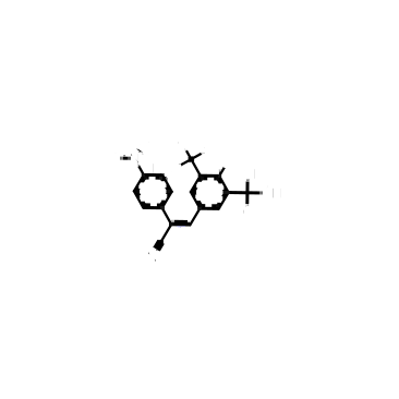 CC(C)(C)c1cc(/C=C(/C#N)c2ccc([N+](=O)[O-])cc2)cc(C(C)(C)C)c1O